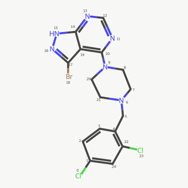 Clc1ccc(CN2CCN(c3ncnc4[nH]nc(Br)c34)CC2)c(Cl)c1